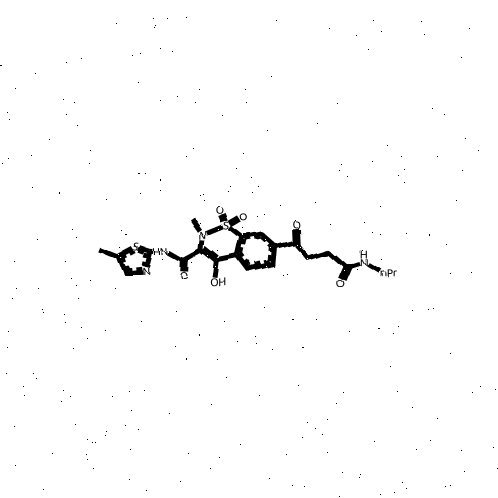 CCCNC(=O)CCC(=O)c1ccc2c(c1)S(=O)(=O)N(C)C(C(=O)Nc1ncc(C)s1)=C2O